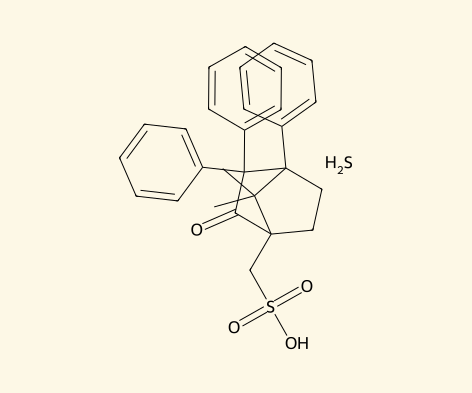 CC1(C)C2(CS(=O)(=O)O)CCC1(c1ccccc1)C(c1ccccc1)(c1ccccc1)C2=O.S